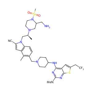 CNc1nc(NC2CCN(Cc3ccc4c(cc(C#N)n4C[C@H](C)N4CCN(S(C)(=O)=O)C(CN)C4)c3C)CC2)c2cc(CC(F)(F)F)sc2n1